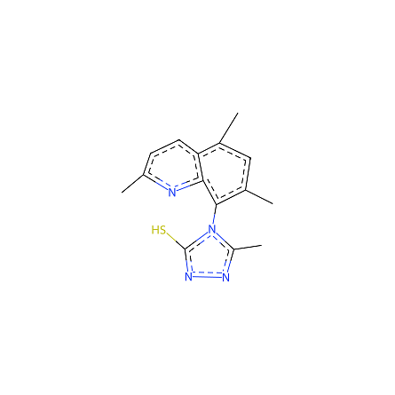 Cc1ccc2c(C)cc(C)c(-n3c(C)nnc3S)c2n1